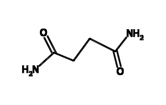 NC(=O)CCC(N)=O